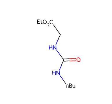 CCCCNC(=O)NCC(=O)OCC